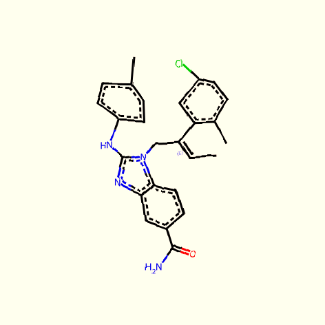 C/C=C(/Cn1c(Nc2ccc(C)cc2)nc2cc(C(N)=O)ccc21)c1cc(Cl)ccc1C